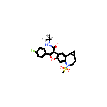 [2H]C([2H])([2H])NC(=O)c1c(-c2ccc(F)cc2)oc2cc3c(cc12)C1CC1CCN3S(C)(=O)=O